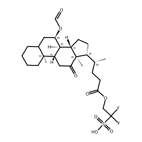 C[C@H](CCC(=O)OCC(F)(F)S(=O)(=O)O)[C@H]1CC[C@H]2[C@@H]3[C@H](OC=O)CC4CCCC[C@]4(C)[C@H]3CC(=O)[C@]12C